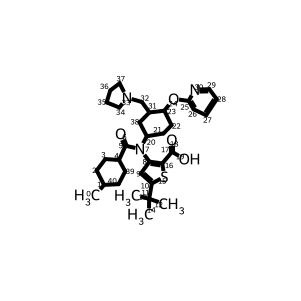 CC1CCC(C(=O)N(c2cc(C(C)(C)C)sc2C(=O)O)C2CCC(Oc3ccccn3)C(CN3CCCC3)C2)CC1